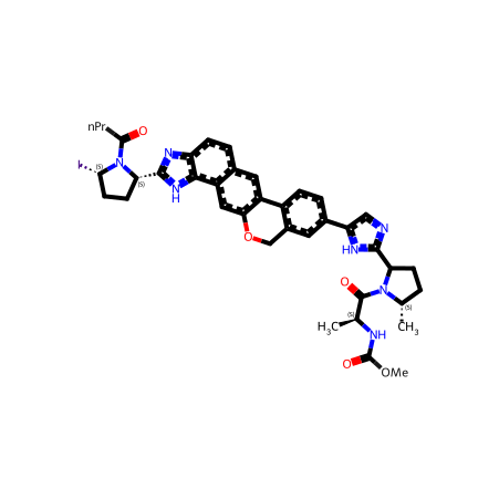 CCCC(=O)N1[C@@H](I)CC[C@H]1c1nc2ccc3cc4c(cc3c2[nH]1)OCc1cc(-c2cnc(C3CC[C@H](C)N3C(=O)[C@H](C)NC(=O)OC)[nH]2)ccc1-4